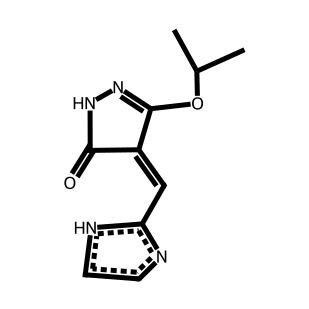 CC(C)OC1=NNC(=O)C1=Cc1ncc[nH]1